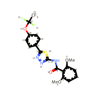 COc1cccc(OC)c1C(=O)Nc1nnc(-c2ccc(OC(F)(F)C(F)(F)F)cc2)s1